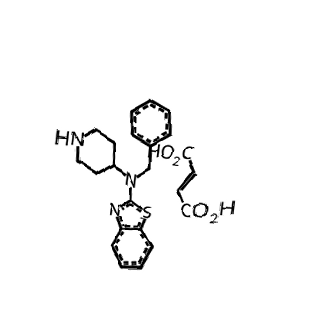 O=C(O)C=CC(=O)O.c1ccc(CN(c2nc3ccccc3s2)C2CCNCC2)cc1